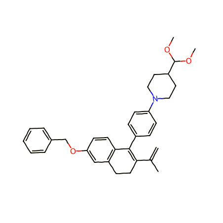 C=C(C)C1=C(c2ccc(N3CCC(C(OC)OC)CC3)cc2)c2ccc(OCc3ccccc3)cc2CC1